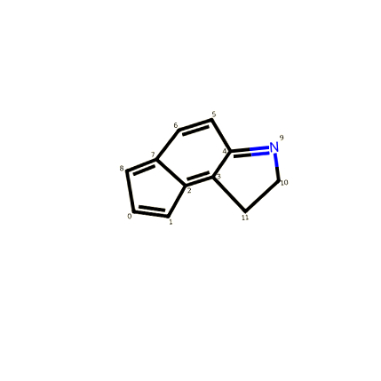 C1=Cc2c3c(ccc2=C1)=NCC3